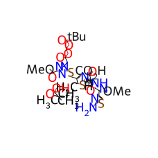 C=C1S[C@@H]2[C@H](NC(=O)C(=NOC)c3csc(N)n3)C(=O)N2C(C(=O)O)=C1CSc1nc(C(=O)OC)nn1CC(=O)OCOC(=O)C(C)(C)C.CC(C)(C)C(=O)O